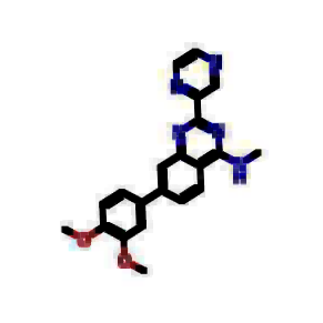 CNc1nc(-c2cnccn2)nc2cc(-c3ccc(OC)c(OC)c3)ccc12